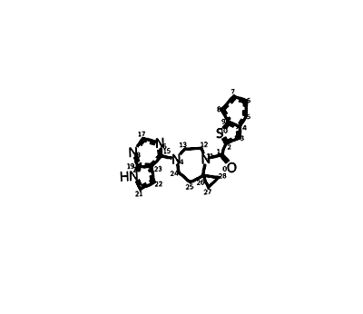 O=C(c1cc2ccccc2s1)N1CCN(c2ncnc3[nH]ccc23)CCC12CC2